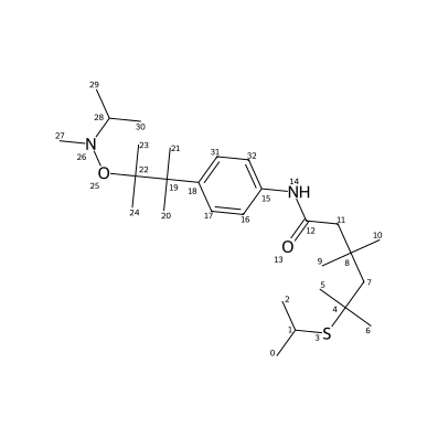 CC(C)SC(C)(C)CC(C)(C)CC(=O)Nc1ccc(C(C)(C)C(C)(C)ON(C)C(C)C)cc1